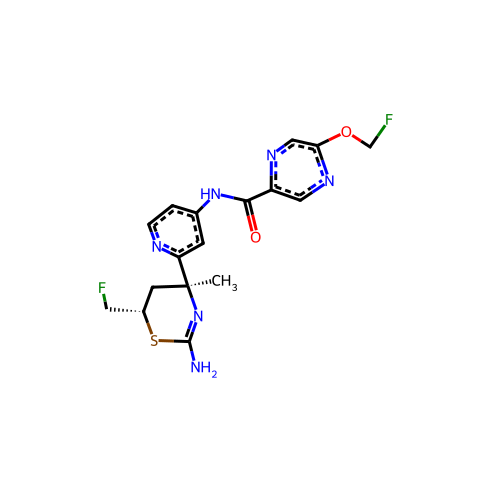 C[C@@]1(c2cc(NC(=O)c3cnc(OCF)cn3)ccn2)C[C@@H](CF)SC(N)=N1